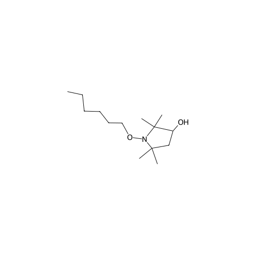 CCCCCCON1C(C)(C)CC(O)C1(C)C